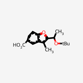 Cc1c(C(C)OC(C)(C)C)oc2ccc(C(=O)O)cc12